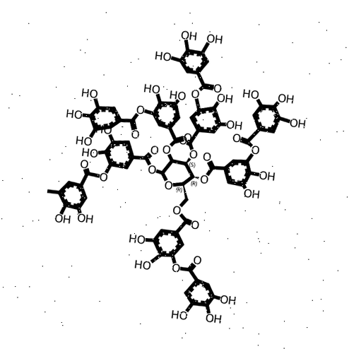 Cc1cc(C(=O)Oc2cc(C(=O)OC3O[C@H](COC(=O)c4cc(O)c(O)c(OC(=O)c5cc(O)c(O)c(O)c5)c4)[C@@H](OC(=O)c4cc(O)c(O)c(OC(=O)c5cc(O)c(O)c(O)c5)c4)[C@H](OC(=O)c4cc(O)c(O)c(OC(=O)c5cc(O)c(O)c(O)c5)c4)C3OC(=O)c3cc(O)c(O)c(OC(=O)c4cc(O)c(O)c(O)c4)c3)cc(O)c2O)cc(O)c1O